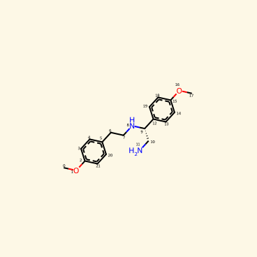 COc1ccc(CCN[C@@H](CN)c2ccc(OC)cc2)cc1